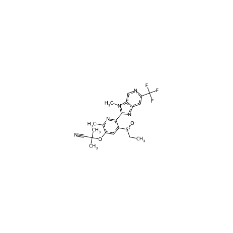 CC[S@+]([O-])c1cc(OC(C)(C)C#N)c(C)nc1-c1nc2cc(C(F)(F)F)ncc2n1C